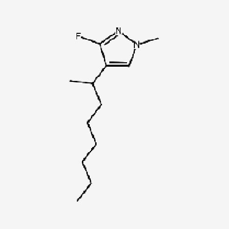 CCCCCCC(C)c1cn(C)nc1F